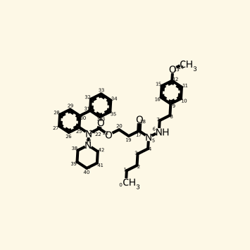 CCCCCN(NCCc1ccc(OC)cc1)C(=O)CCOC(=O)N(c1ccccc1-c1ccccc1)N1CC[CH]CC1